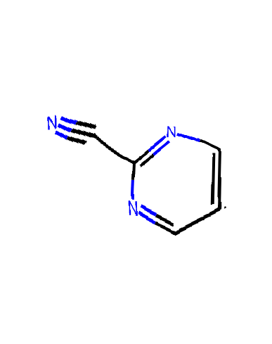 N#Cc1nc[c]cn1